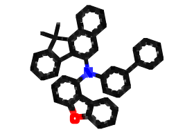 CC1(C)c2ccccc2-c2c(N(c3cccc(-c4ccccc4)c3)c3cccc4oc5ccccc5c34)cc3ccccc3c21